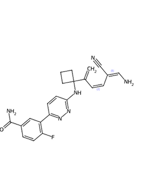 C=C(/C=C\C(C#N)=C/N)C1(Nc2ccc(-c3cc(C(N)=O)ccc3F)nn2)CCC1